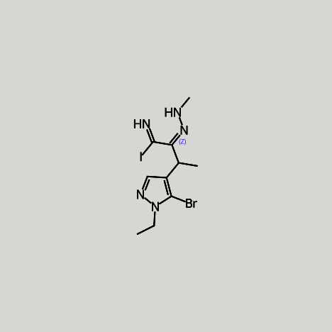 CCn1ncc(C(C)/C(=N/NC)C(=N)I)c1Br